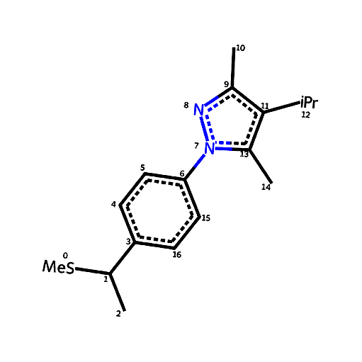 CSC(C)c1ccc(-n2nc(C)c(C(C)C)c2C)cc1